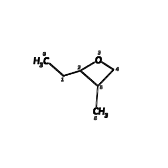 CCC1OCC1C